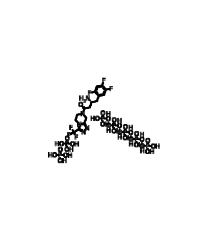 N[C@@H](CC(=O)N1CCn2c(nnc2C(F)(F)F)C1)Cc1cc(F)c(F)cc1F.O=P(O)(O)O.O=P(O)(O)O.O=P(O)(O)O.O=P(O)(O)O.O=P(O)(O)O.O=P(O)(O)O.O=P(O)(O)O